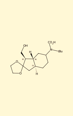 CC(C)(C)N(C(=O)O)C1CC[C@H]2CC3(OCCO3)[C@@H](CO)[C@@H]2C1